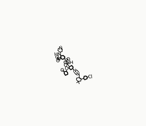 COc1ccccc1Oc1cc(N2CCN(CC3=C(c4ccc(Cl)cc4)CC(C)(C)CC3)CC2)ccc1C(=O)NS(=O)(=O)c1ccc(NC2CCN(C)CC2)c([N+](=O)[O-])c1